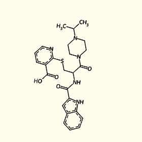 CC(C)N1CCN(C(=O)C(CSc2ncccc2C(=O)O)NC(=O)c2cc3ccccc3[nH]2)CC1